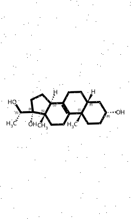 C[C@H](O)[C@@]1(O)CC[C@H]2C3=C(CC[C@@]21C)[C@@]1(C)CC[C@@H](O)C[C@H]1CC3